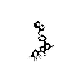 O=C1CCC(N2Cc3c(cc(F)cc3C3CCN(Cc4cnn5ccccc45)CC3)C2=O)C(=O)N1